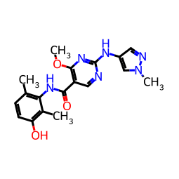 COc1nc(Nc2cnn(C)c2)ncc1C(=O)Nc1c(C)ccc(O)c1C